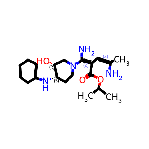 C/C(N)=C/C(C(=O)OC(C)C)=C(\N)N1CC[C@H](NC2CCCCC2)[C@H](O)C1